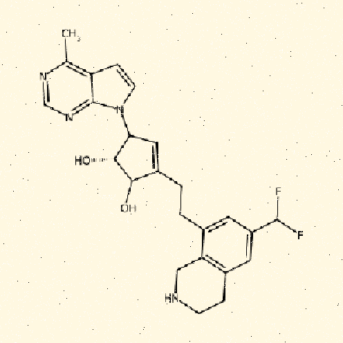 Cc1ncnc2c1ccn2C1C=C(CCc2cc(C(F)F)cc3c2CNCC3)C(O)[C@@H]1O